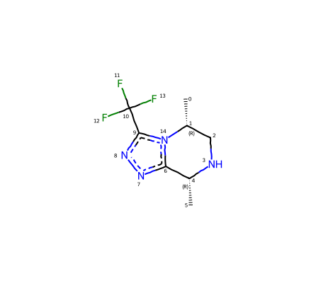 C[C@@H]1CN[C@H](C)c2nnc(C(F)(F)F)n21